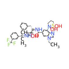 CCn1cnc2c(N3CCCS3(O)O)cc(C(=O)N[C@@H](Cc3ccccc3)[C@H](O)CNC(C)(C)c3cccc(C(F)(F)F)c3)cc21